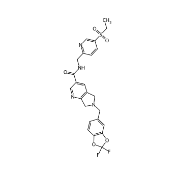 CCS(=O)(=O)c1ccc(CNC(=O)c2cnc3c(c2)CN(Cc2ccc4c(c2)OC(F)(F)O4)C3)nc1